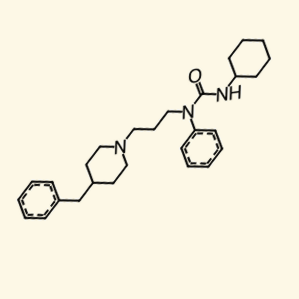 O=C(NC1CCCCC1)N(CCCN1CCC(Cc2ccccc2)CC1)c1ccccc1